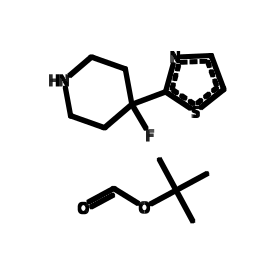 CC(C)(C)OC=O.FC1(c2nccs2)CCNCC1